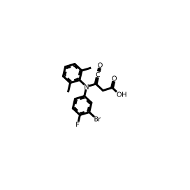 Cc1cccc(C)c1N(C(=C=O)CC(=O)O)c1ccc(F)c(Br)c1